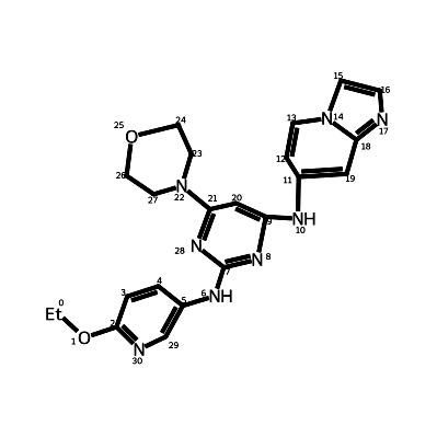 CCOc1ccc(Nc2nc(Nc3ccn4ccnc4c3)cc(N3CCOCC3)n2)cn1